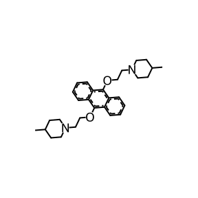 CC1CCN(CCOc2c3ccccc3c(OCCN3CCC(C)CC3)c3ccccc23)CC1